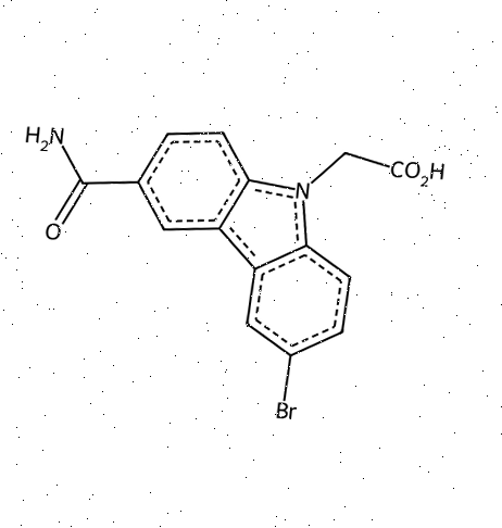 NC(=O)c1ccc2c(c1)c1cc(Br)ccc1n2CC(=O)O